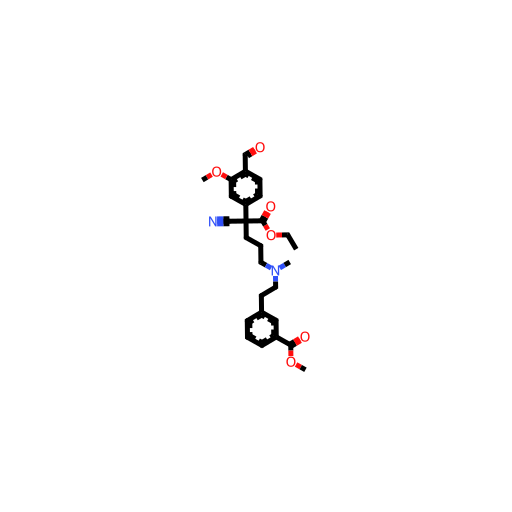 CCOC(=O)C(C#N)(CCCN(C)CCc1cccc(C(=O)OC)c1)c1ccc(C=O)c(OC)c1